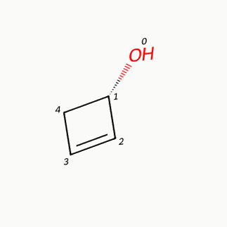 O[C@@H]1C=CC1